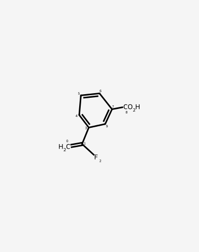 C=C(F)c1cccc(C(=O)O)c1